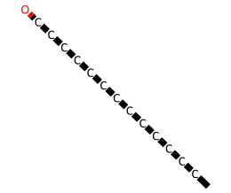 C=C=C=C=C=C=C=C=C=C=C=C=C=C=O